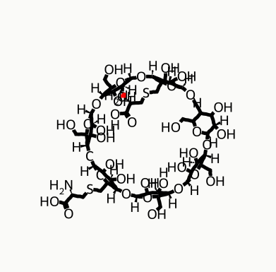 N[C@H](CSCC1O[C@@H]2O[C@@H]3C(CO)O[C@H](O[C@@H]4C(CO)O[C@H](O[C@@H]5C(CO)O[C@H](O[C@@H]6C(CSC[C@@H](N)C(=O)O)C[C@H](C[C@@H]7C(CO)O[C@H](O[C@@H]8C(CO)O[C@H](O[C@H]1C(O)[C@@H]2O)[C@@H](O)C8O)[C@@H](O)C7O)C(O)[C@H]6O)C(O)[C@H]5O)C(O)[C@H]4O)[C@@H](O)C3O)C(=O)O